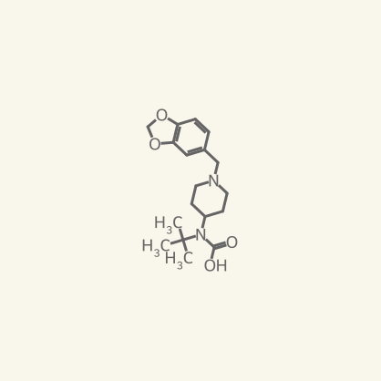 CC(C)(C)N(C(=O)O)C1CCN(Cc2ccc3c(c2)OCO3)CC1